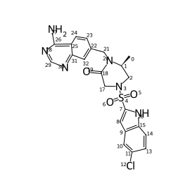 C[C@H]1CN(S(=O)(=O)c2cc3cc(Cl)ccc3[nH]2)CC(=O)N1Cc1ccc2c(N)ncnc2c1